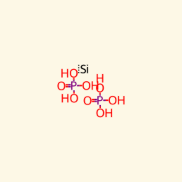 O=P(O)(O)O.O=P(O)(O)O.[Si]